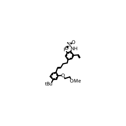 C=Cc1cc(CC/C=C/c2ccc(C(C)(C)C)cc2OCCOC)cc(F)c1NS(C)(=O)=O